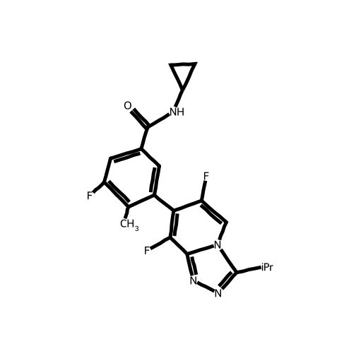 Cc1c(F)cc(C(=O)NC2CC2)cc1-c1c(F)cn2c(C(C)C)nnc2c1F